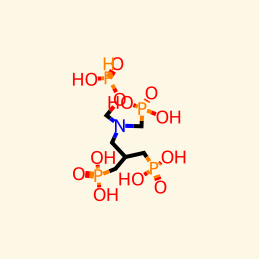 O=[PH](O)OCN(CC(CP(=O)(O)O)CP(=O)(O)O)CP(=O)(O)O